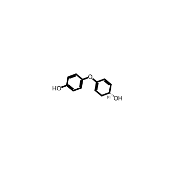 Oc1ccc(OC2=CC[C@@H](O)C=C2)cc1